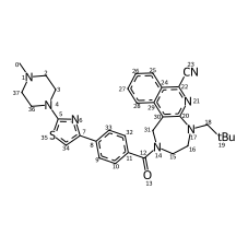 CN1CCN(c2nc(-c3ccc(C(=O)N4CCN(CC(C)(C)C)c5nc(C#N)c6ccccc6c5C4)cc3)cs2)CC1